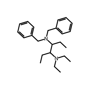 CC[C](C(CC)N(Cc1ccccc1)Cc1ccccc1)N(CC)CC